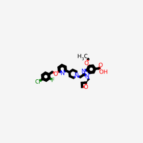 CCOc1cc(C(=O)O)cc2c1nc(CN1CCC(c3cccc(OCc4ccc(Cl)cc4F)n3)CC1)n2C[C@@H]1CCO1